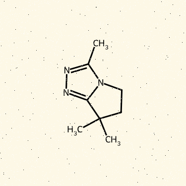 Cc1nnc2n1CCC2(C)C